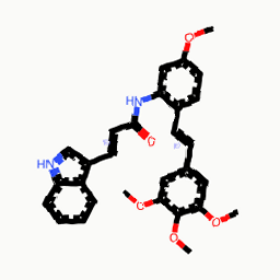 COc1ccc(/C=C/c2cc(OC)c(OC)c(OC)c2)c(NC(=O)/C=C/c2c[nH]c3ccccc23)c1